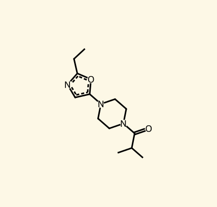 CCc1ncc(N2CCN(C(=O)C(C)C)CC2)o1